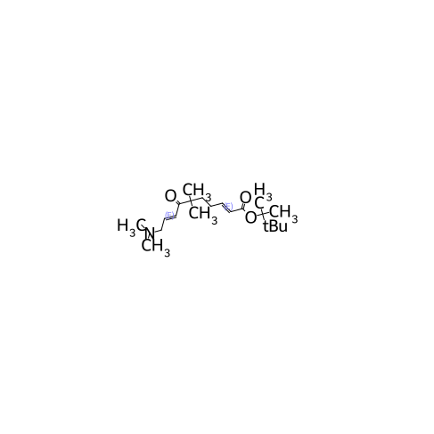 CN(C)C/C=C/C(=O)C(C)(C)CC/C=C/C(=O)OC(C)(C)C(C)(C)C